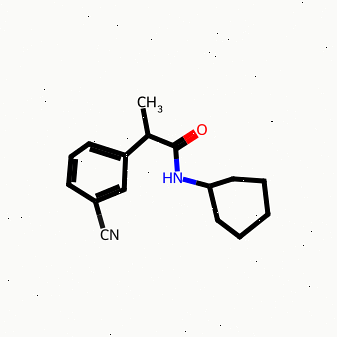 CC(C(=O)NC1CCCCC1)c1cccc(C#N)c1